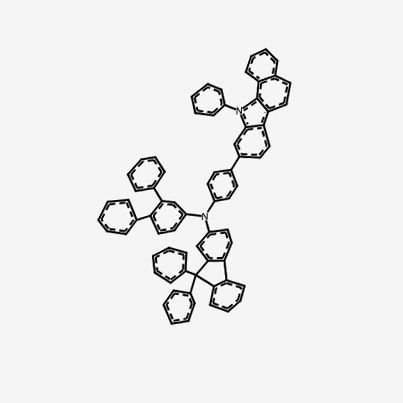 c1ccc(-c2ccc(N(c3ccc(-c4ccc5c6ccc7ccccc7c6n(-c6ccccc6)c5c4)cc3)c3ccc4c(c3)C(c3ccccc3)(c3ccccc3)c3ccccc3-4)cc2-c2ccccc2)cc1